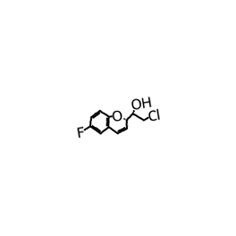 O[C@@H](CCl)[C@@H]1C=Cc2cc(F)ccc2O1